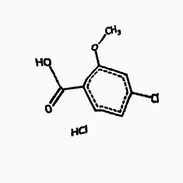 COc1cc(Cl)ccc1C(=O)O.Cl